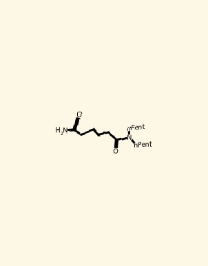 CCCCCN(CCCCC)C(=O)CCCCC(N)=O